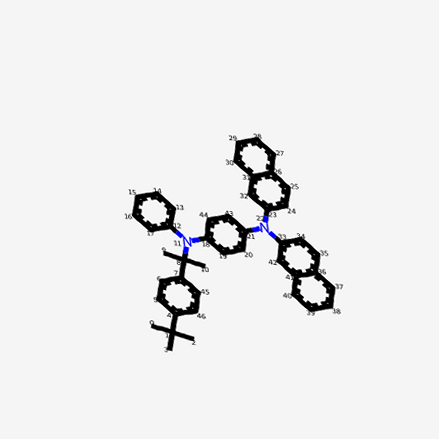 CC(C)(C)c1ccc(C(C)(C)N(c2ccccc2)c2ccc(N(c3ccc4ccccc4c3)c3ccc4ccccc4c3)cc2)cc1